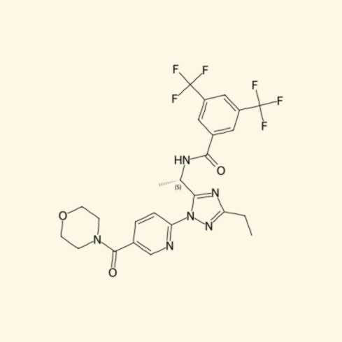 CCc1nc([C@H](C)NC(=O)c2cc(C(F)(F)F)cc(C(F)(F)F)c2)n(-c2ccc(C(=O)N3CCOCC3)cn2)n1